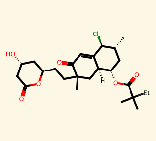 CCC(C)(C)C(=O)O[C@H]1C[C@@H](C)[C@H](Cl)C2=CC(=O)[C@@](C)(CC[C@@H]3C[C@@H](O)CC(=O)O3)C[C@@H]21